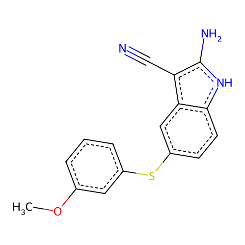 COc1cccc(Sc2ccc3[nH]c(N)c(C#N)c3c2)c1